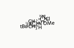 COc1c(NC2CCC(C(C)(C)CC(C)(C)C)CC2)ccnc1Cl